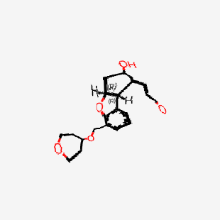 O=CC=CC1C(O)C[C@H]2Oc3c(COC4CCOCC4)cccc3[C@@H]12